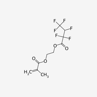 C=C(C)C(=O)OCCOC(=O)C(F)(F)C(F)C(F)(F)F